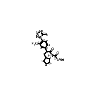 CNC(=O)NC(=O)C(CC1CCCC1)c1ccc(-n2nnnc2C)c(C(F)(F)F)c1